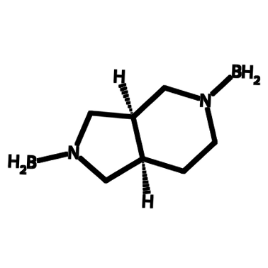 BN1CC[C@H]2CN(B)C[C@H]2C1